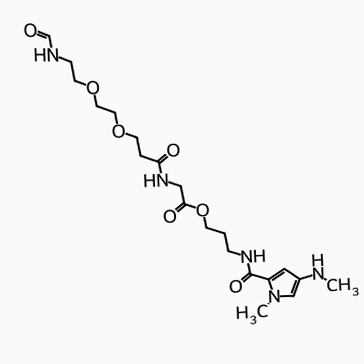 CNc1cc(C(=O)NCCCOC(=O)CNC(=O)CCOCCOCCNC=O)n(C)c1